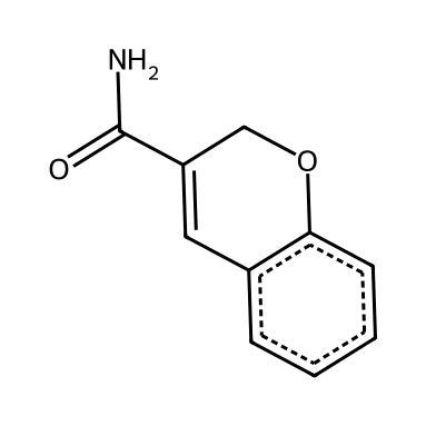 NC(=O)C1=Cc2ccccc2OC1